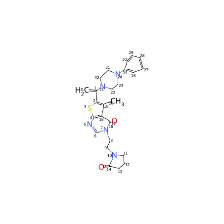 C=C(c1sc2ncn(CCN3CCCC3=O)c(=O)c2c1C)N1CCN(c2ccccc2)CC1